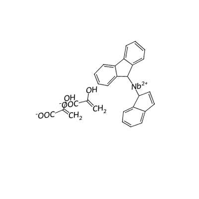 C1=C[CH]([Nb+2][CH]2c3ccccc3-c3ccccc32)c2ccccc21.C=C(O)C(=O)[O-].C=C(O)C(=O)[O-]